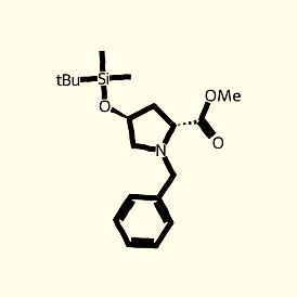 COC(=O)[C@H]1C[C@H](O[Si](C)(C)C(C)(C)C)CN1Cc1ccccc1